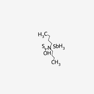 CCCCN(CCCC)C(O)=S.[SbH3]